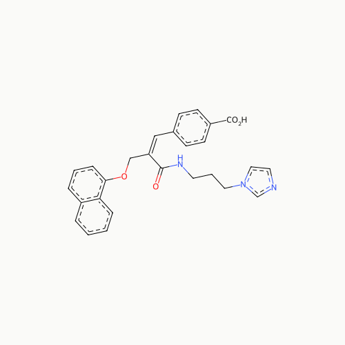 O=C(NCCCn1ccnc1)C(=Cc1ccc(C(=O)O)cc1)COc1cccc2ccccc12